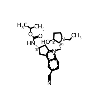 CCN1CC[C@H](O)[C@H]1Cn1c2c(c3cc(C#N)ccc31)C[C@H](NC(=O)OC(C)C)C2